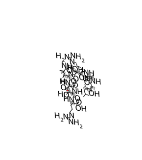 CC(C)C[C@@H](C)[C@@H](O)[C@@H](C)C(=O)N[C@H](C)C(=O)N[C@@H](CCCN=C(N)N)[C@@H](O)[C@@H](O)C(=O)N[C@H](C(=O)N[C@@H](C(=O)N[C@@H](C(=O)N[C@H](CCCN=C(N)N)C(=O)O)[C@@H](C)O)[C@@H](C)O)[C@@H](C)[C@@H](C)C(N)=O